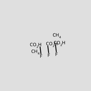 C.C.O=C(O)F.O=C(O)F.O=C(O)F